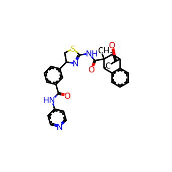 CC1(C(=O)NC2=NC(c3cccc(C(=O)Nc4ccncc4)c3)CS2)CC2C(=O)CC1c1ccccc12